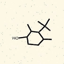 CC1CCC(O)C(C)C1C(C)(C)C